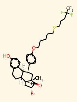 C[C@]12C[C@H](c3ccc(OCCCCCSCCCC(F)(F)C(F)(F)F)cc3)[C@@H]3c4ccc(O)cc4CC[C@H]3[C@@H]1C[C@@H](Br)C2=O